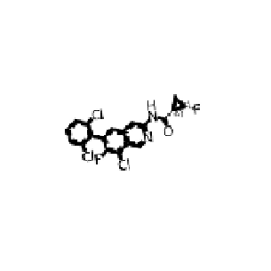 O=C(Nc1cc2cc(-c3c(Cl)cccc3Cl)c(F)c(Cl)c2cn1)[C@@H]1C[C@@H]1F